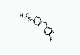 CSc1ccc(Cc2ccc(F)nc2)cc1